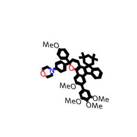 COc1ccc(C2(c3ccc(N4CCOCC4)cc3)C=Cc3c4c(c5cc(-c6cc(OC)c(OC)c(OC)c6)c(OC)cc5c3O2)-c2ccccc2C42CC(C)(C)CC(C)(C)C2)cc1